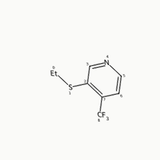 CCSc1cnccc1C(F)(F)F